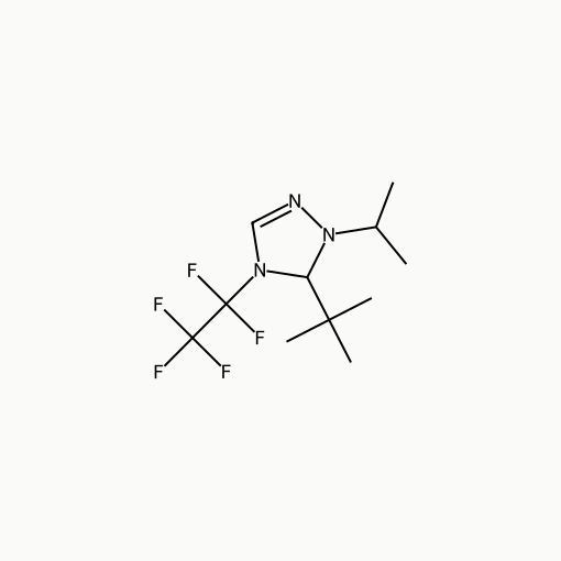 CC(C)N1N=CN(C(F)(F)C(F)(F)F)C1C(C)(C)C